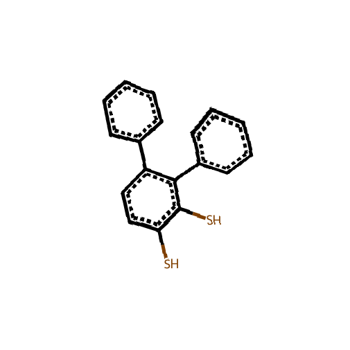 Sc1ccc(-c2ccccc2)c(-c2ccccc2)c1S